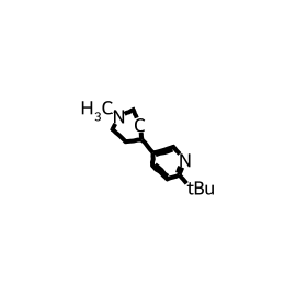 CN1CCC(c2ccc(C(C)(C)C)nc2)CC1